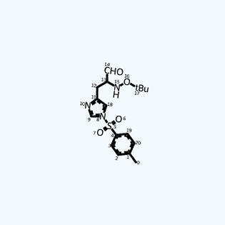 Cc1ccc(S(=O)(=O)n2cnc(CC(C=O)NOC(C)(C)C)c2)cc1